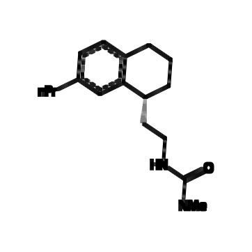 CCCc1ccc2c(c1)[C@@H](CCNC(=O)NC)CCC2